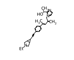 C=C(/C=C(\C)c1ccc(C#CC2C3CN(CC)CC23)cc1)Cn1ccnc1[C@H](C)O